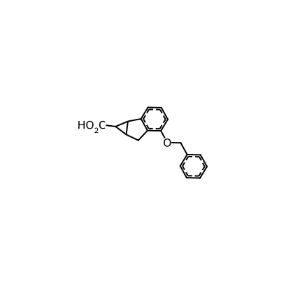 O=C(O)C1C2Cc3c(OCc4ccccc4)cccc3C21